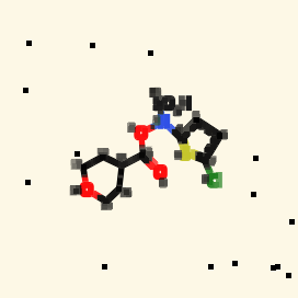 O=C(ON(c1ccc(Cl)s1)S(=O)(=O)O)C1CCOCC1